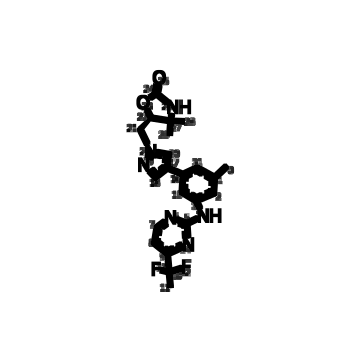 Cc1cc(Nc2nccc(C(C)(F)F)n2)cc(-c2cnn(C[C@H]3OC(=O)NC3(C)C)c2)c1